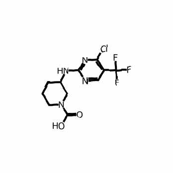 O=C(O)N1CCCC(Nc2ncc(C(F)(F)F)c(Cl)n2)C1